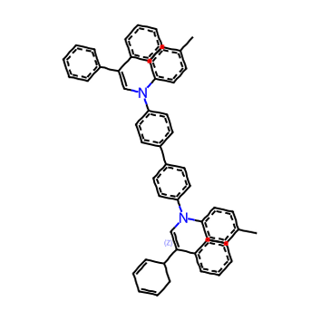 Cc1ccc(N(C=C(c2ccccc2)c2ccccc2)c2ccc(-c3ccc(N(/C=C(\c4ccccc4)C4C=CC=CC4)c4ccc(C)cc4)cc3)cc2)cc1